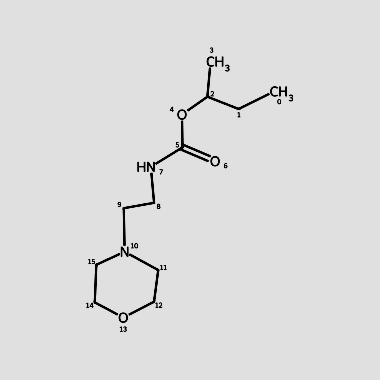 CCC(C)OC(=O)NCCN1CCOCC1